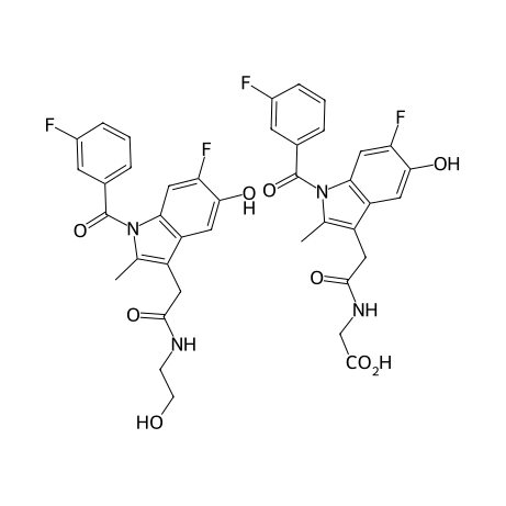 Cc1c(CC(=O)NCC(=O)O)c2cc(O)c(F)cc2n1C(=O)c1cccc(F)c1.Cc1c(CC(=O)NCCO)c2cc(O)c(F)cc2n1C(=O)c1cccc(F)c1